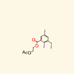 CC(=O)OCCOC(=O)c1cc(I)cc(CI)c1I